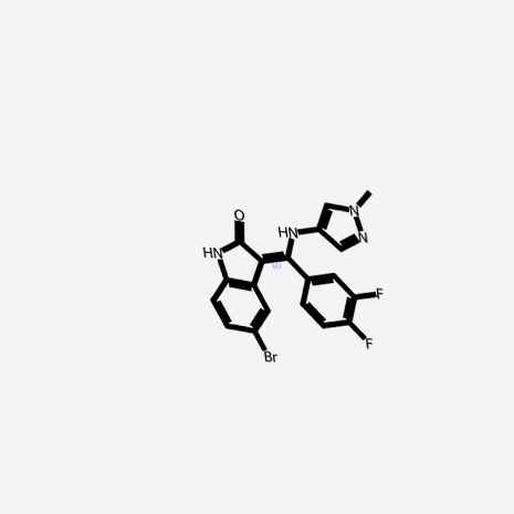 Cn1cc(N/C(=C2\C(=O)Nc3ccc(Br)cc32)c2ccc(F)c(F)c2)cn1